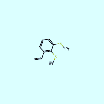 C=Cc1cccc(SC(C)C)c1SC(C)C